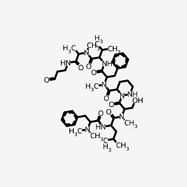 CC(C)CC(NC(=O)C(Cc1ccccc1)N(C)C)C(=O)N(C)C(CO)C(=O)N1NCCCC1C(=O)N(C)C(Cc1ccccc1)C(=O)NC(C(=O)N(C)C(C)C(=O)NCCC=O)C(C)C